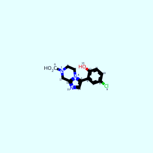 O=C(O)N1CCn2c(-c3cc(Cl)ccc3O)cnc2C1